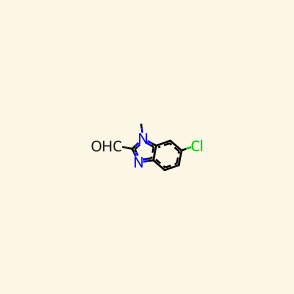 Cn1c(C=O)nc2ccc(Cl)cc21